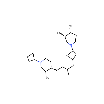 CCC[C@@H]1CCN(C2CC(CC(C)CC[C@@H]3CCN(C4CCC4)C[C@H]3C(C)C)C2)C[C@H]1C(C)C